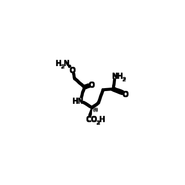 NOCC(=O)N[C@@H](CCC(N)=O)C(=O)O